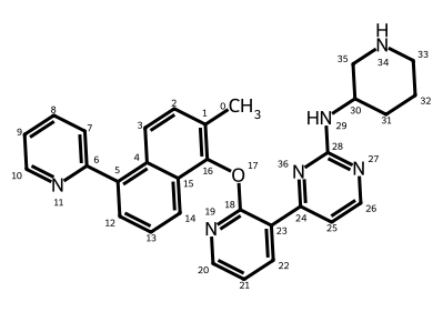 Cc1ccc2c(-c3ccccn3)cccc2c1Oc1ncccc1-c1ccnc(NC2CCCNC2)n1